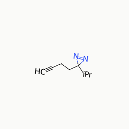 C#CCCC1(C(C)C)N=N1